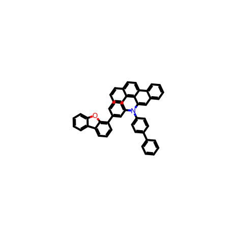 c1ccc(-c2ccc(N(c3cccc(-c4cccc5c4oc4ccccc45)c3)c3cc4ccccc4c4ccc5ccccc5c34)cc2)cc1